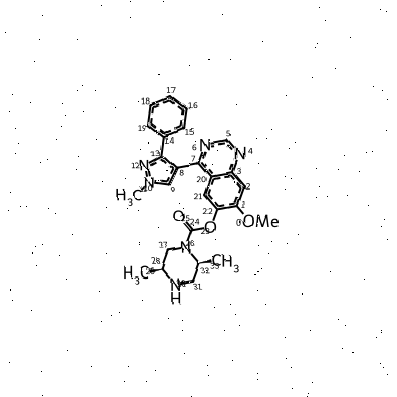 COc1cc2ncnc(-c3cn(C)nc3-c3ccccc3)c2cc1OC(=O)N1C[C@H](C)NC[C@@H]1C